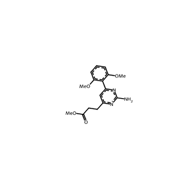 COC(=O)CCc1cc(-c2c(OC)cccc2OC)nc(N)n1